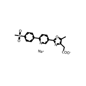 Cc1oc(-c2ccc(-c3ccc(S(C)(=O)=O)cc3)nc2)nc1CC(=O)[O-].[Na+]